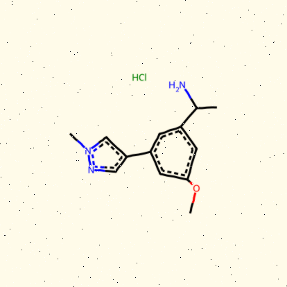 COc1cc(-c2cnn(C)c2)cc(C(C)N)c1.Cl